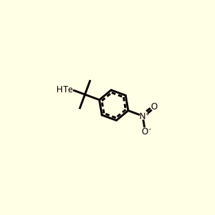 CC(C)([TeH])c1ccc([N+](=O)[O-])cc1